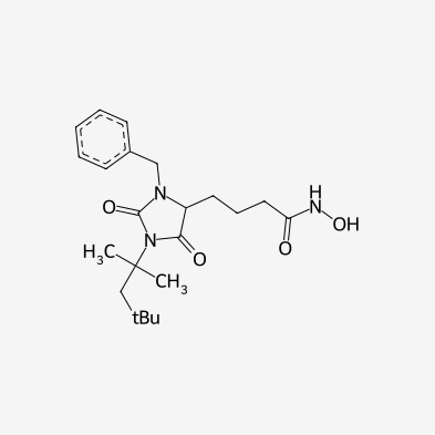 CC(C)(C)CC(C)(C)N1C(=O)C(CCCC(=O)NO)N(Cc2ccccc2)C1=O